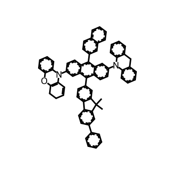 CC1(C)c2cc(-c3ccccc3)ccc2-c2ccc(-c3c4ccc(N5c6ccccc6Cc6ccccc65)cc4c(-c4ccc5ccccc5c4)c4ccc(N5C6=C(CCC=C6)Oc6ccccc65)cc34)cc21